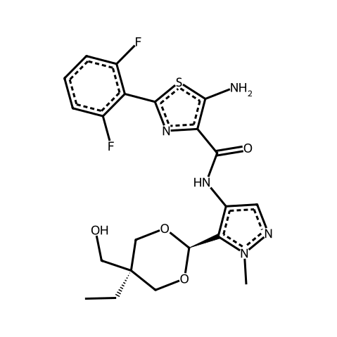 CC[C@]1(CO)CO[C@@H](c2c(NC(=O)c3nc(-c4c(F)cccc4F)sc3N)cnn2C)OC1